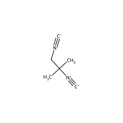 [C-]#[N+]CC(C)(C)[N+]#[C-]